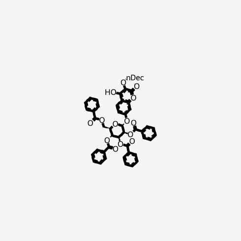 CCCCCCCCCCOc1c(O)c2ccc(O[C@H]3O[C@H](COC(=O)c4ccccc4)[C@@H](OC(=O)c4ccccc4)[C@H](OC(=O)c4ccccc4)[C@@H]3OC(=O)c3ccccc3)cc2oc1=O